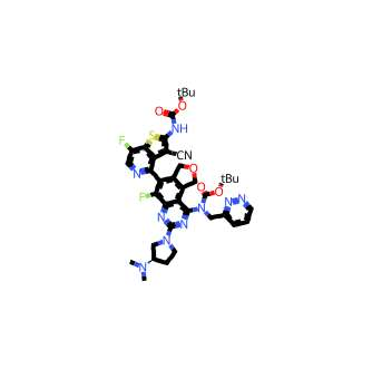 CN(C)[C@H]1CCN(c2nc(N(Cc3cccnn3)C(=O)OC(C)(C)C)c3c4c(c(-c5ncc(F)c6sc(NC(=O)OC(C)(C)C)c(C#N)c56)c(F)c3n2)COC4)C1